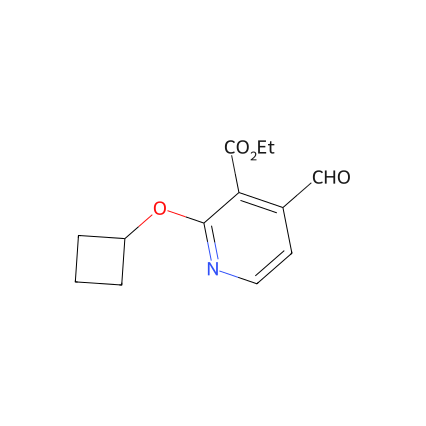 CCOC(=O)c1c(C=O)ccnc1OC1CCC1